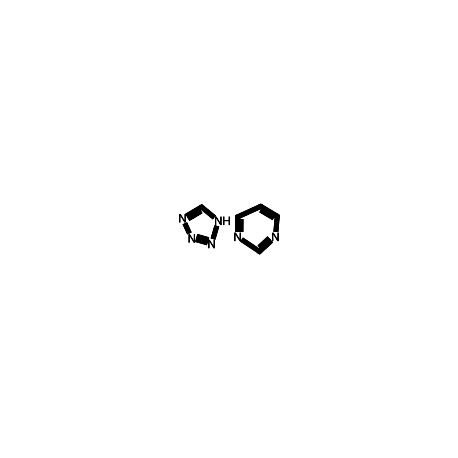 c1cncnc1.c1nnn[nH]1